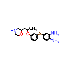 CC(CC1CNCCO1)Oc1cccc(Sc2ccc(N)c(N)c2)c1